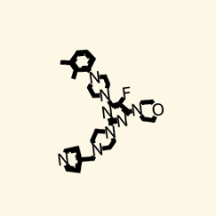 Cc1cccc(N2CCN(c3nc(N4CCN(Cc5ccncc5)CC4)nc(N4CCOCC4)c3F)CC2)c1C